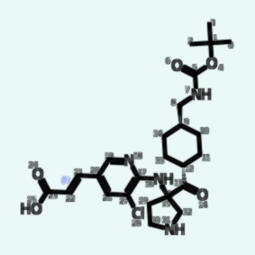 CC(C)(C)OC(=O)NC[C@H]1CC[C@H](C(=O)[C@@]2(Nc3ncc(/C=C/C(=O)O)cc3Cl)CCNC2)CC1